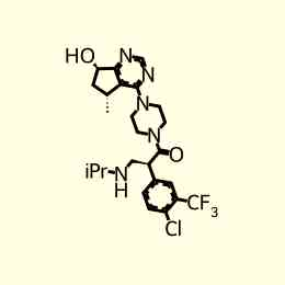 CC(C)NC[C@@H](C(=O)N1CCN(c2ncnc3c2[C@H](C)C[C@H]3O)CC1)c1ccc(Cl)c(C(F)(F)F)c1